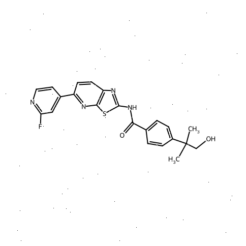 CC(C)(CO)c1ccc(C(=O)Nc2nc3ccc(-c4ccnc(F)c4)nc3s2)cc1